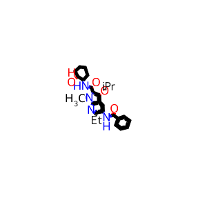 CCc1nc2c(cc1NC(=O)c1ccccc1)c(OC(C)C)c(C(=O)NC1CCCCC1O)n2C